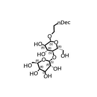 CCCCCCCCCCCCO[C@H]1O[C@H](CO)[C@@H](O[C@@H]2O[C@H](CO)[C@H](O)[C@H](O)[C@H]2O)[C@H](O)[C@H]1O